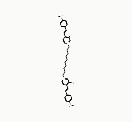 CCN(CC)c1ccc(/C=C/c2cc[n+](CCCCCCCCCC[n+]3ccc(/C=C/c4ccc(N(CC)CC)cc4)c(N)c3)cc2N)cc1